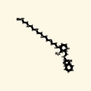 COCCOCCOCCOCCOCCSc1ccnc(CSc2nc3ccccc3[nH]2)c1C